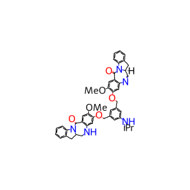 COc1cc2c(cc1OCc1cc(COc3cc4c(cc3OC)C(=O)N3c5ccccc5CC3CN4)cc(NC(C)C)c1)N=C[C@@H]1Cc3ccccc3N1C2=O